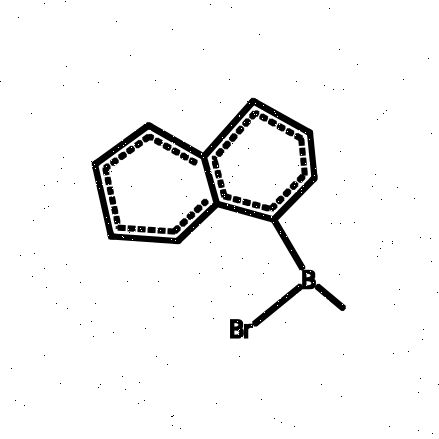 CB(Br)c1cccc2ccccc12